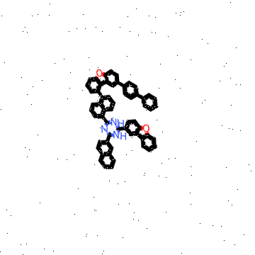 c1ccc(-c2ccc(-c3ccc4oc5cccc(-c6cccc7c(C8N=C(c9ccc%10ccccc%10c9)NC(c9ccc%10oc%11ccccc%11c%10c9)N8)cccc67)c5c4c3)cc2)cc1